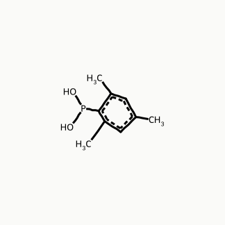 Cc1cc(C)c(P(O)O)c(C)c1